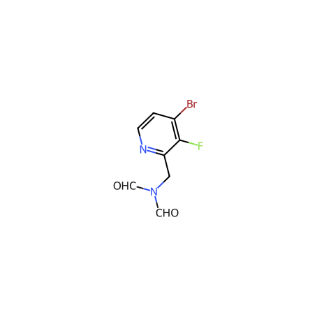 O=CN(C=O)Cc1nccc(Br)c1F